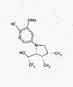 COc1cc(N2C[C@H](C)[C@H](C)[C@@H]2[C@@H](O)C(F)(F)F)cnc1C#N